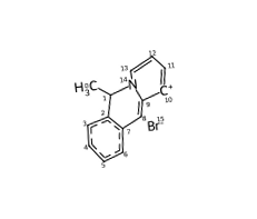 CC1c2ccccc2C=C2[C+]=CC=CN21.[Br-]